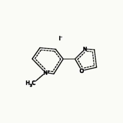 C[n+]1cccc(-c2ncco2)c1.[I-]